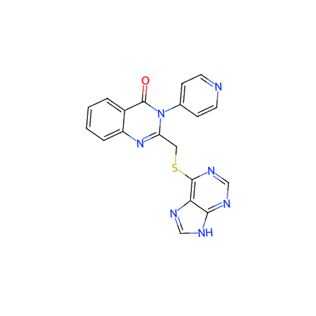 O=c1c2ccccc2nc(CSc2ncnc3[nH]cnc23)n1-c1ccncc1